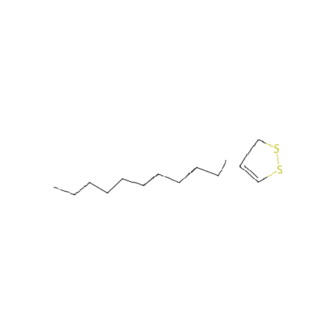 C1=CSSC1.CCCCCCCCCCC